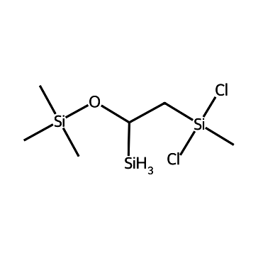 C[Si](Cl)(Cl)CC([SiH3])O[Si](C)(C)C